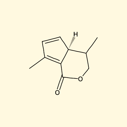 CC1=C2C(=O)OCC(C)[C@@H]2C=C1